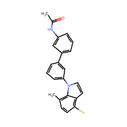 CC(=O)Nc1cccc(-c2cccc(-n3ccc4c(F)ccc(C)c43)c2)c1